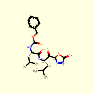 CC(C)C[C@H](NC(=O)OCc1ccccc1)C(=O)N[C@@H](CC(C)C)C(=O)C1N=NC(=O)O1